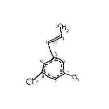 [CH2]/C=C/c1cc(Cl)cc(Cl)c1